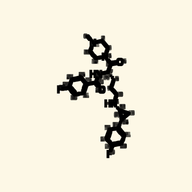 CN1CCN(C(=O)[C@H](CCCN[C@@H]2C[C@H]2c2ccc(F)cc2)NC(=O)c2ccc(F)cc2)CC1